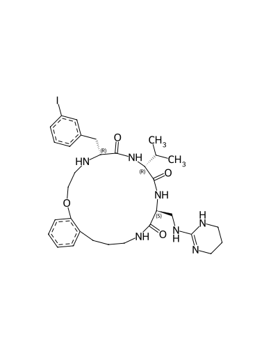 CC(C)[C@H]1NC(=O)[C@@H](Cc2cccc(I)c2)NCCOc2ccccc2CCCNC(=O)[C@H](CNC2=NCCCN2)NC1=O